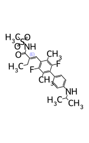 CC/C(=C\c1c(C)c(F)c(-c2ccc(NC(C)C)cc2)c(C)c1F)C(=O)NS(C)(=O)=O